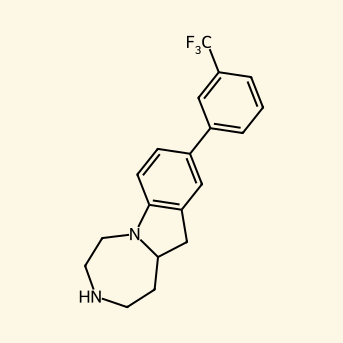 FC(F)(F)c1cccc(-c2ccc3c(c2)CC2CCNCCN32)c1